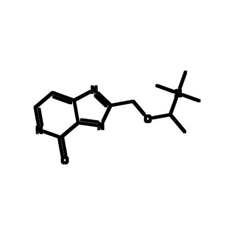 CC(OCC1=NC2=CC=NC(=O)C2=N1)[Si](C)(C)C